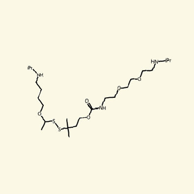 CC(C)NCCCCOC(C)SSC(C)(C)CCOC(=O)NCCOCCOCCNC(C)C